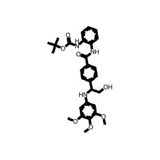 COc1cc(NC(CO)c2ccc(C(=O)Nc3ccccc3NC(=O)OC(C)(C)C)cc2)cc(OC)c1OC